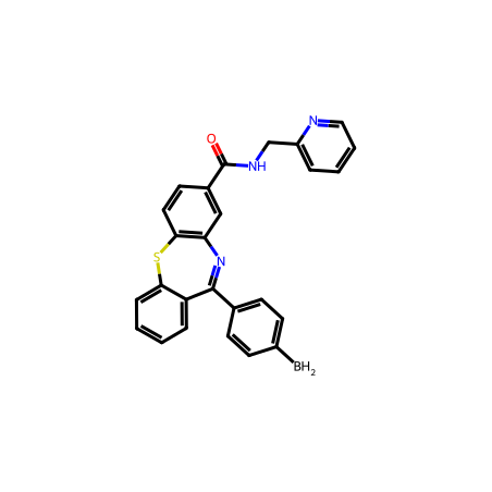 Bc1ccc(C2=Nc3cc(C(=O)NCc4ccccn4)ccc3Sc3ccccc32)cc1